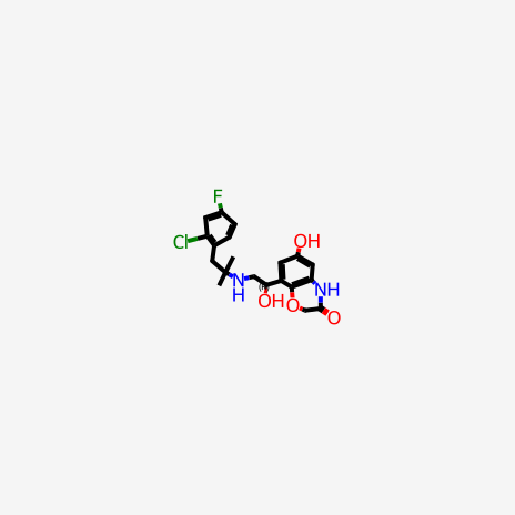 CC(C)(Cc1ccc(F)cc1Cl)NC[C@H](O)c1cc(O)cc2c1OCC(=O)N2